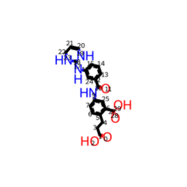 O=C(O)CCc1ccc(NC(=O)c2cccc(NC3NC=CCN3)c2)cc1C(=O)O